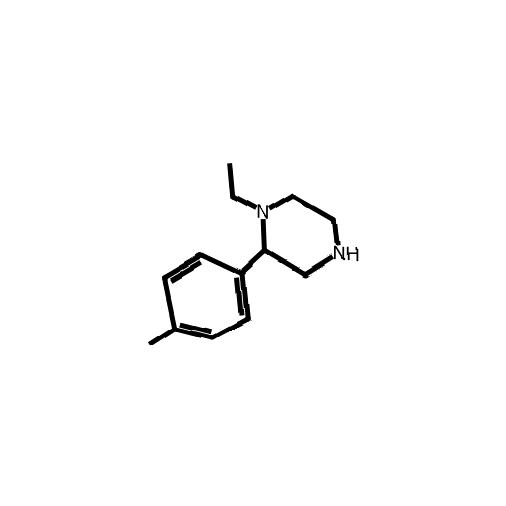 CCN1CCNCC1c1ccc(C)cc1